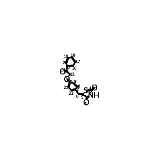 O=C1NC(=O)/C(=C/c2ccc(OCC(=O)c3ccccc3)cc2)S1